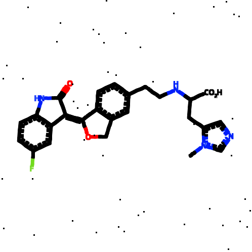 Cn1cncc1CC(NCCc1ccc2c(c1)COC2=C1C(=O)Nc2ccc(F)cc21)C(=O)O